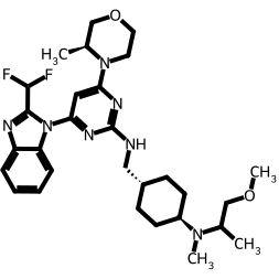 COCC(C)N(C)[C@H]1CC[C@H](CNc2nc(N3CCOC[C@@H]3C)cc(-n3c(C(F)F)nc4ccccc43)n2)CC1